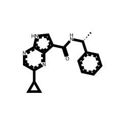 C[C@@H](NC(=O)c1c[nH]c2ncc(C3CC3)nc12)c1ccccc1